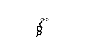 CC1CCC2(CC=C(CCC=O)CC2)C1